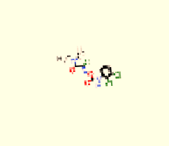 CN(C)C(=O)C(Cl)=NOC(=O)Nc1cccc(Cl)c1Cl